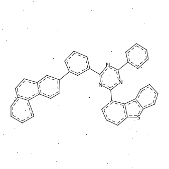 c1ccc(-c2nc(-c3cccc(-c4ccc5c(ccc6ccccc65)c4)c3)nc(-c3cccc4sc5ccccc5c34)n2)cc1